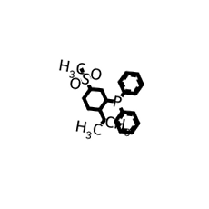 CC(C)C1CCC(S(C)(=O)=O)CC1P(c1ccccc1)c1ccccc1